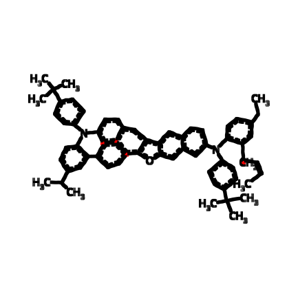 C=C(/C=C\C)c1cc(CC)ccc1N(c1ccc(C(C)(C)C)cc1)c1ccc2cc3c(cc2c1)oc1cc2cc(N(c4ccc(C(C)(C)C)cc4)c4ccc(C(C)C)cc4-c4ccccc4)ccc2cc13